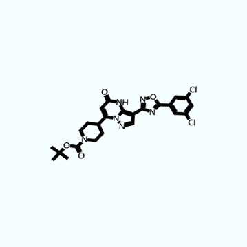 CC(C)(C)OC(=O)N1CCC(c2cc(=O)[nH]c3c(-c4noc(-c5cc(Cl)cc(Cl)c5)n4)cnn23)CC1